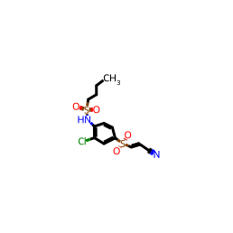 CCCCS(=O)(=O)Nc1ccc(S(=O)(=O)C=CC#N)cc1Cl